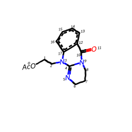 CC(=O)OCCN1C2=NCCCN2C(=O)c2ccccc21